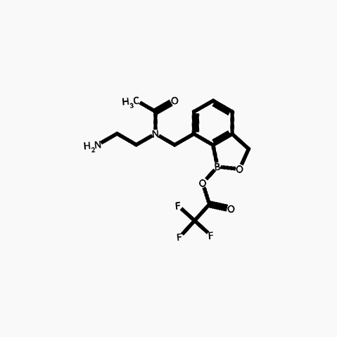 CC(=O)N(CCN)Cc1cccc2c1B(OC(=O)C(F)(F)F)OC2